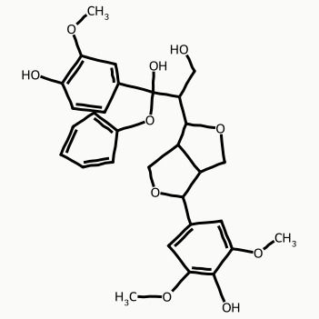 COc1cc(C(O)(Oc2ccccc2)C(CO)C2OCC3C(c4cc(OC)c(O)c(OC)c4)OCC32)ccc1O